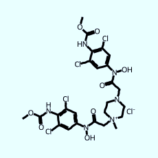 COC(=O)Nc1c(Cl)cc(N(O)C(=O)CN2CC[N+](C)(CC(=O)N(O)c3cc(Cl)c(NC(=O)OC)c(Cl)c3)CC2)cc1Cl.[Cl-]